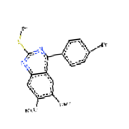 COc1cc2nc(SC(C)C)nc(-c3ccc(C(C)C)cc3)c2cc1OC